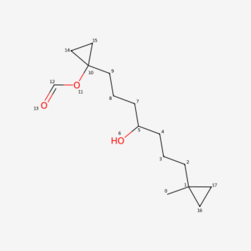 CC1(CCCC(O)CCCC2(OC=O)CC2)CC1